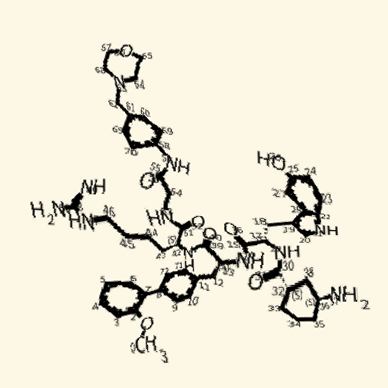 COc1ccccc1-c1ccc(C[C@H](NC(=O)[C@H](Cc2c[nH]c3ccc(O)cc23)NC(=O)[C@H]2CCC[C@H](N)C2)C(=O)N[C@@H](CCCCNC(=N)N)C(=O)NCC(=O)Nc2ccc(CN3CCOCC3)cc2)cc1